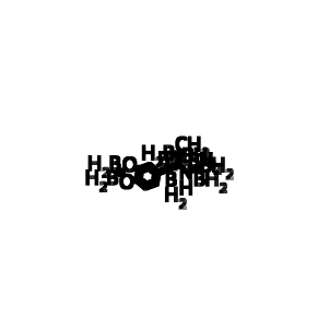 BC(B)(B)N[C@@H](C(B)(B)C)C(B)(B)c1ccc2c(c1)OC(B)(B)O2